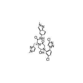 Cn1ccc(C[C@H](C(=O)Nc2ccc3nn(C)cc3c2)N2CC(O)N(c3cc(Cl)ccc3-n3cc(Cl)nn3)CC2=O)n1